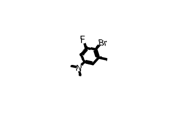 Cc1cc(N(C)C)cc(F)c1Br